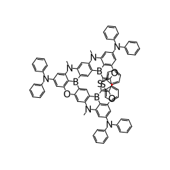 CN1c2cc3c(cc2B2c4cc5c(cc4Oc4cc(N(c6ccccc6)c6ccccc6)cc1c42)N(C)c1cc(N(c2ccccc2)c2ccccc2)cc2c1B5c1sc4ccccc4c1O2)B1c2sc4ccccc4c2Oc2cc(N(c4ccccc4)c4ccccc4)cc(c21)N3C